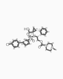 CN1CCN(C(=O)OCCN([C@]2(C(=O)O)C[C@@H]2c2ccccc2)S(=O)(=O)c2ccc(-c3ccc(Cl)cc3)s2)CC1